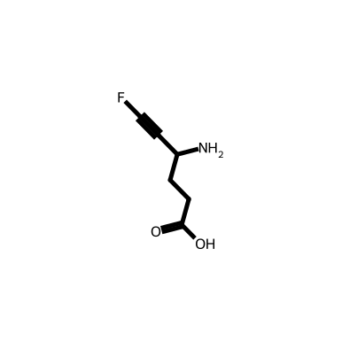 NC(C#CF)CCC(=O)O